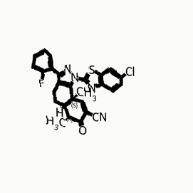 C[C@H]1C(=O)C(C#N)=C[C@@]2(C)c3c(c(-c4ccccc4F)nn3-c3nc4ccc(Cl)cc4s3)CC[C@H]12